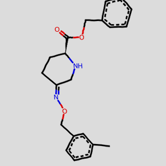 Cc1cccc(CO/N=C2/CC[C@@H](C(=O)OCc3ccccc3)NC2)c1